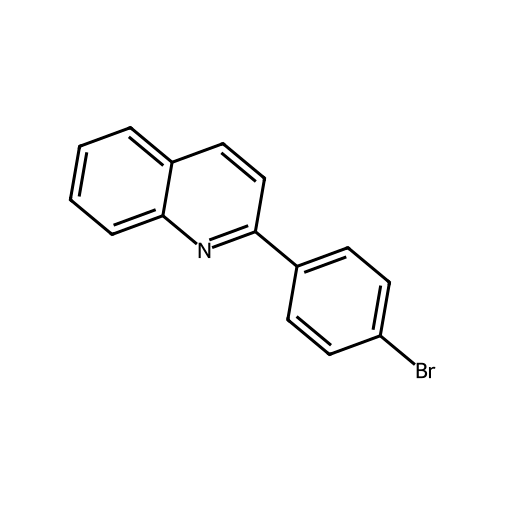 Brc1ccc(-c2ccc3ccccc3n2)cc1